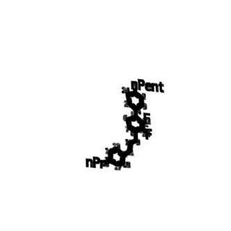 CCCCCc1ccc(-c2ccc(CC=Cc3ccc(CCC)cc3)c(F)c2F)cc1